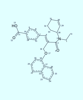 CCN(C(=O)/C(=C/c1ccc(C(=O)O)cc1)COc1cccc2ccccc12)C1C=CCCC1